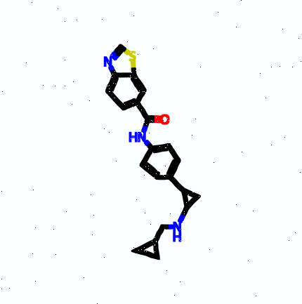 O=C(Nc1ccc(C2CC2NCC2CC2)cc1)c1ccc2ncsc2c1